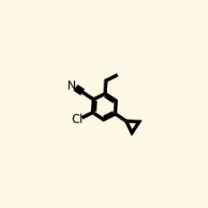 CCc1cc(C2CC2)cc(Cl)c1C#N